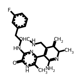 C=C1C(CNC=O)=C(c2nc(NCCc3cccc(F)c3)c(=O)[nH]c2C)C(N)=NC1C